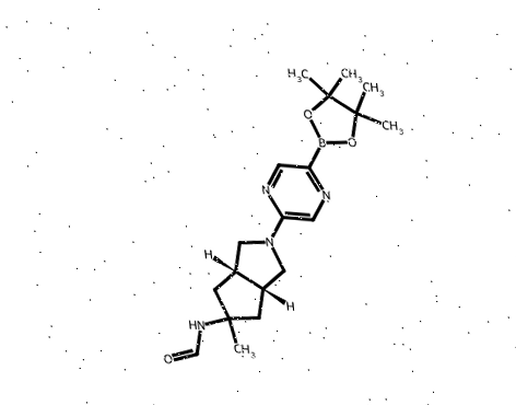 CC1(NC=O)C[C@H]2CN(c3cnc(B4OC(C)(C)C(C)(C)O4)cn3)C[C@H]2C1